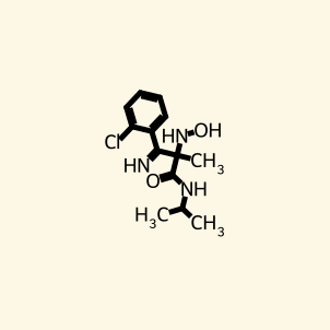 CC(C)NC(=O)C(C)(NO)C(=N)c1ccccc1Cl